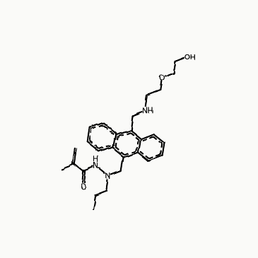 C=C(C)C(=O)NN(CCC)Cc1c2ccccc2c(CNCCOCCO)c2ccccc12